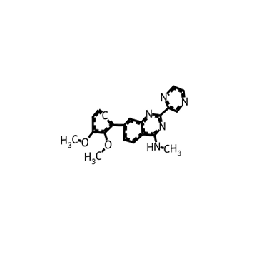 CNc1nc(-c2cnccn2)nc2cc(-c3cccc(OC)c3OC)ccc12